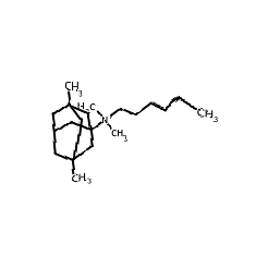 CCCCCC[N+](C)(C)C12CC3CC(C)(CC(C)(C3)C1)C2